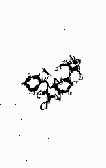 CC[C@@H](c1ccccc1)n1c(=O)c(Cl)nc2ccc(-c3c(C)noc3C)nc21